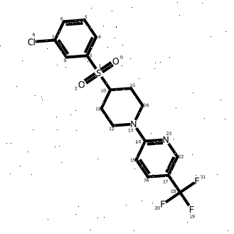 O=S(=O)(c1cccc(Cl)c1)C1CCN(c2ccc(C(F)(F)F)cn2)CC1